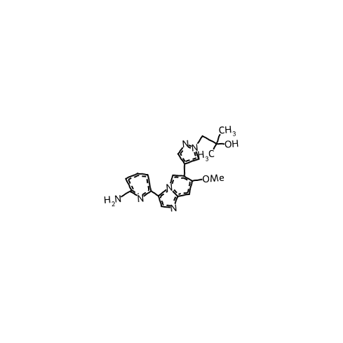 COc1cc2ncc(-c3cccc(N)n3)n2cc1-c1cnn(CC(C)(C)O)c1